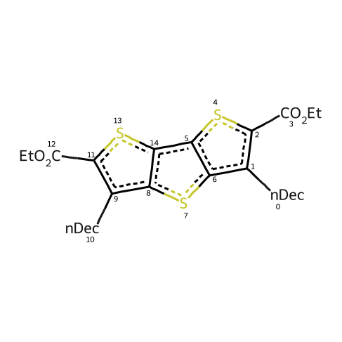 CCCCCCCCCCc1c(C(=O)OCC)sc2c1sc1c(CCCCCCCCCC)c(C(=O)OCC)sc12